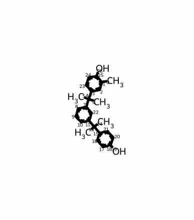 Cc1cc(C(C)(C)c2cccc(C(C)(C)c3ccc(O)cc3)c2)ccc1O